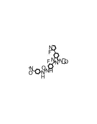 CN(C)C(=O)c1ccc(NC(=O)Nc2ccc(-c3nc(N4CCOCC4)c4ccc(-c5cccnc5F)cc4n3)c(F)c2)cc1